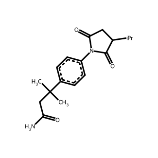 CC(C)C1CC(=O)N(c2ccc(C(C)(C)CC(N)=O)cc2)C1=O